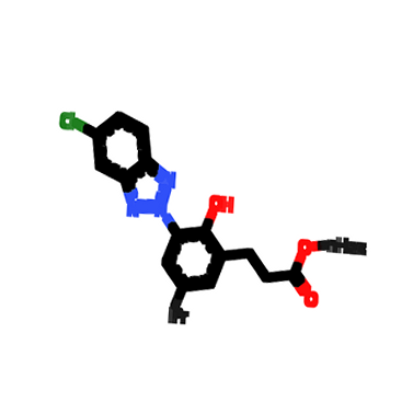 CCCCCCOC(=O)CCc1cc(C(C)C)cc(-n2nc3ccc(Cl)cc3n2)c1O